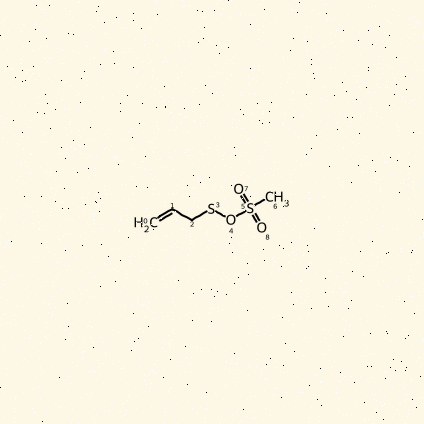 C=CCSOS(C)(=O)=O